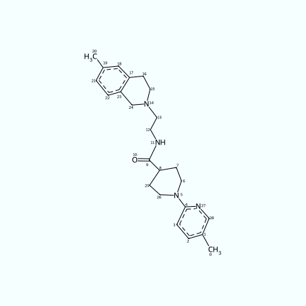 Cc1ccc(N2CCC(C(=O)NCCN3CCc4cc(C)ccc4C3)CC2)nc1